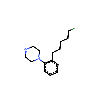 ClCCCCCc1ccccc1N1CC[N]CC1